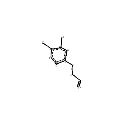 [CH]=CCCc1ccc(C)c(C)c1